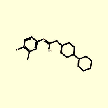 Fc1ccc(/N=C(\S)CC2CCC(C3CCCCC3)CC2)cc1F